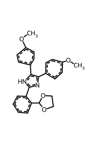 COc1ccc(-c2nc(-c3ccccc3C3OCCO3)[nH]c2-c2ccc(OC)cc2)cc1